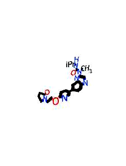 CC(C)NC(=O)N(C)c1cnc2ccc(-c3ccc(OCCN4CCCC4=O)nc3)cc2n1